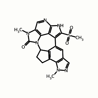 Cn1ncc2cc(-c3c(S(C)(=O)=O)[nH]c4ncc5c(c34)n(C3CCCC3)c(=O)n5C)ccc21